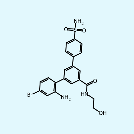 Nc1cc(Br)ccc1-c1cc(C(=O)NCCO)cc(-c2ccc(S(N)(=O)=O)cc2)c1